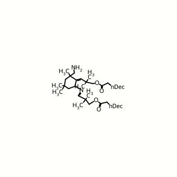 CCCCCCCCCCCC(=O)OCC(C)(C)C=NC1CC(C)(C)CC(C)(CN)C1=CC(C)(C)COC(=O)CCCCCCCCCCC